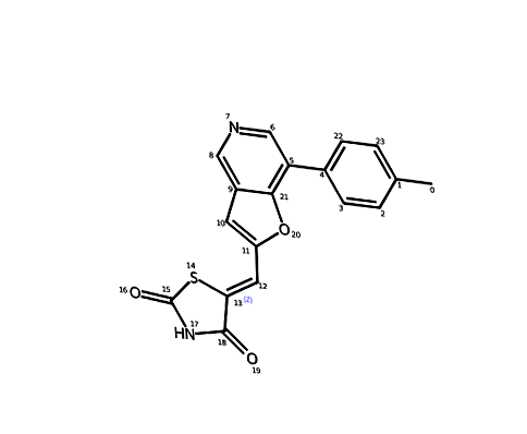 Cc1ccc(-c2cncc3cc(/C=C4\SC(=O)NC4=O)oc23)cc1